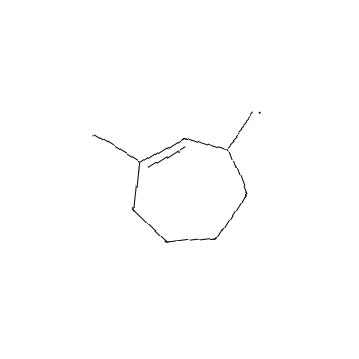 [CH2]C1C=C(C)CCCC1